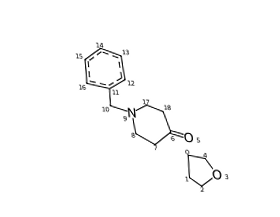 C1CCOC1.O=C1CCN(Cc2ccccc2)CC1